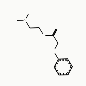 CCN(CC)CCSC(=O)COc1ccccc1.Cl